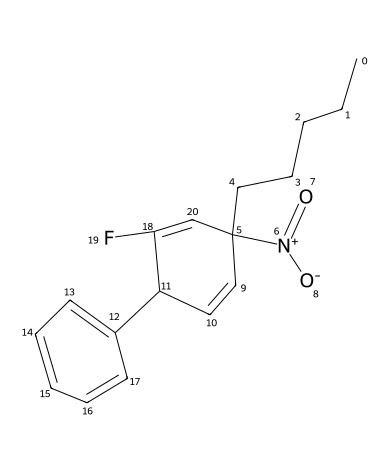 CCCCCC1([N+](=O)[O-])C=CC(c2ccccc2)C(F)=C1